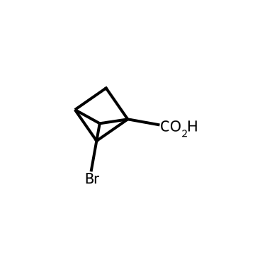 O=C(O)C12CC(C1)C2Br